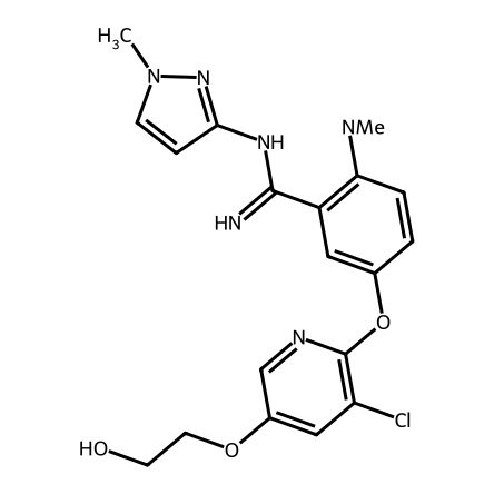 CNc1ccc(Oc2ncc(OCCO)cc2Cl)cc1C(=N)Nc1ccn(C)n1